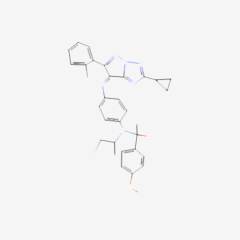 COc1ccc(C(C)(O)N(c2ccc(/N=C3/C(c4ccccc4Cl)=Nn4nc(C5CC5)nc43)cc2)C(C)CN)cc1